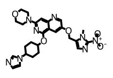 Cn1c(COc2cnc3cc(N4CCOCC4)nc(OC4CCC(n5ccnc5)CC4)c3c2)cnc1[N+](=O)[O-]